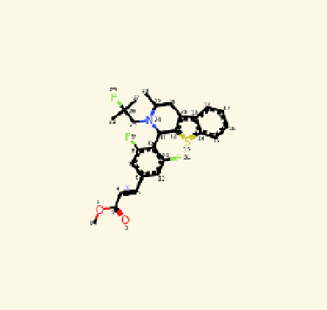 COC(=O)/C=C/c1cc(F)c(C2c3sc4ccccc4c3CC(C)N2CC(C)(C)F)c(F)c1